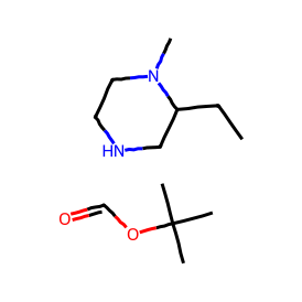 CC(C)(C)OC=O.CCC1CNCCN1C